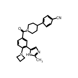 Cc1ncc(-c2cc(C(=O)N3CCC(c4ccc(C#N)cc4)CC3)ccc2N2CCC2)[nH]1